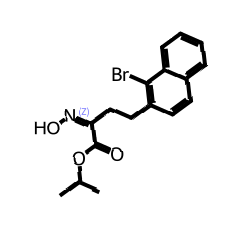 CC(C)OC(=O)/C(CCc1ccc2ccccc2c1Br)=N\O